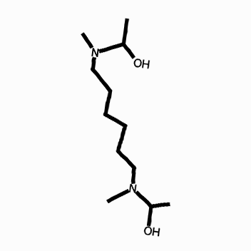 CC(O)N(C)CCCCCCN(C)C(C)O